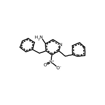 Nc1cnc(Cc2ccccc2)c([N+](=O)[O-])c1Cc1ccccc1